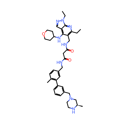 CCc1nc2c(cnn2CC)c(NC2CCOCC2)c1CNC(=O)CC(=O)NCc1ccc(C)c(-c2cccc(CN3CCN[C@H](C)C3)c2)c1